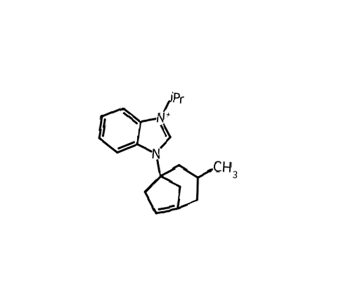 CC1CC2=CCC(n3c[n+](C(C)C)c4ccccc43)(C2)C1